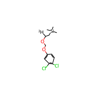 [2H]C(C[Si](C)(C)C)OCOc1ccc(Cl)c(Cl)c1